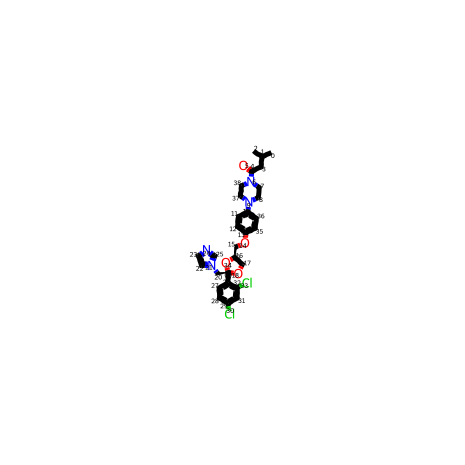 CC(C)CC(=O)N1CCN(c2ccc(OC[C@H]3CO[C@](Cn4ccnc4)(c4ccc(Cl)cc4Cl)O3)cc2)CC1